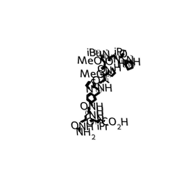 CC[C@H](C)[C@@H]([C@@H](CC(=O)N1CCC[C@H]1[C@H](OC)[C@@H](C)C(=O)N[C@@H](Cc1cccc(NC(=O)[C@H](CCCNC(N)=O)NC(=O)[C@@H](NC(=O)O)C(C)C)c1)c1nccs1)OC)N(C)C(=O)[C@@H](NC(=O)[C@@H]1[C@H]2CC[C@H](C2)N1C)C(C)C